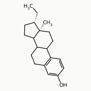 CC[C@H]1CCC2C3CCc4cc(O)ccc4C3CC[C@@]21C